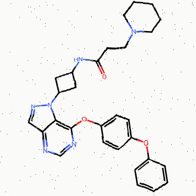 O=C(CCN1CCCCC1)NC1CC(n2ncc3ncnc(Oc4ccc(Oc5ccccc5)cc4)c32)C1